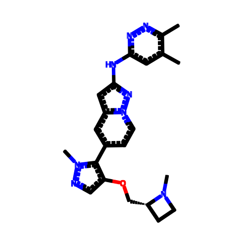 Cc1cc(Nc2cc3cc(-c4c(OC[C@H]5CCN5C)cnn4C)ccn3n2)nnc1C